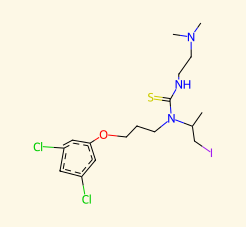 CC(CI)N(CCCOc1cc(Cl)cc(Cl)c1)C(=S)NCCN(C)C